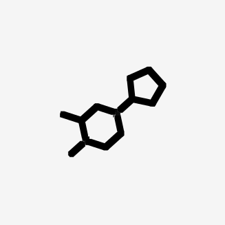 CC1CN(C2CCCC2)CCN1C